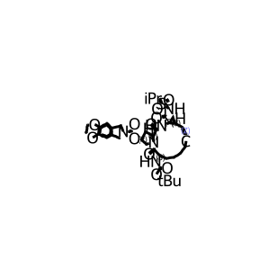 CC(C)S(=O)(=O)NC(=O)[C@@]12C[C@H]1/C=C\CCCCC[C@H](NC(=O)OC(C)(C)C)C(=O)N1C[C@H](OC(=O)N3Cc4cc5c(cc4C3)OCCO5)C[C@H]1C(=O)N2